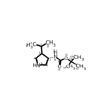 CC(C)C1CNC[C@H]1NC(=O)OC(C)(C)C